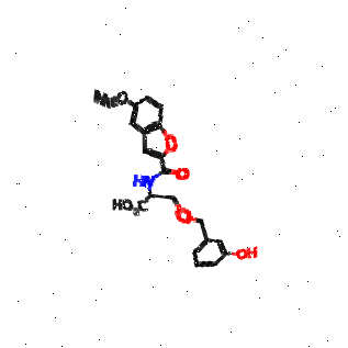 COc1ccc2oc(C(=O)NC(COCc3cccc(O)c3)C(=O)O)cc2c1